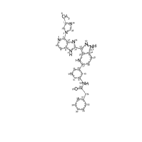 Cc1cn(-c2nccc3[nH]c(-c4n[nH]c5ccc(-c6cncc(NC(=O)Cc7ccccc7)c6)nc45)nc23)cn1